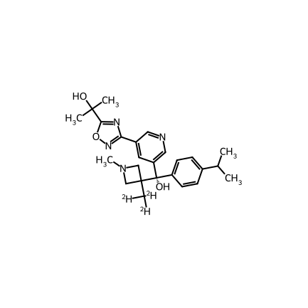 [2H]C([2H])([2H])C1([C@](O)(c2ccc(C(C)C)cc2)c2cncc(-c3noc(C(C)(C)O)n3)c2)CN(C)C1